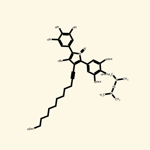 CCCCCCCCCCCCCCCCCCCC#CC1=C(c2cc(CCCCCC)c(CCCCCC)c(CCCCCC)c2)[N+](=[N-])C(c2cc(CCC)c(CCC)c(CCC)c2)=C1CCCC.C[N](C)[Ni][N](C)C